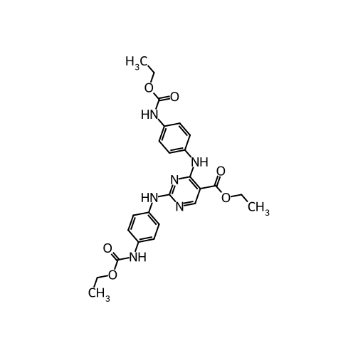 CCOC(=O)Nc1ccc(Nc2ncc(C(=O)OCC)c(Nc3ccc(NC(=O)OCC)cc3)n2)cc1